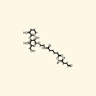 CN(OC(=O)CCCCC(=O)NCCO[C@H]1OC(CO)[C@@H](O)C(OC2OCCCC2O)C1O)C(=O)CCC=O